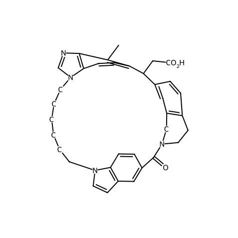 Cc1c2ccc3c1ncn3CCCCCCn1ccc3cc(ccc31)C(=O)N1CCc3ccc(cc3C1)C2CC(=O)O